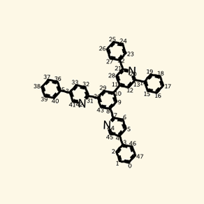 c1ccc(-c2ccc(-c3cc(-c4cc(-c5ccccc5)nc(-c5ccccc5)c4)cc(-c4ccc(-c5ccccc5)cn4)c3)nc2)cc1